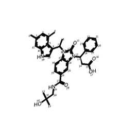 Cc1cc(C)c2c(C(C)n3c(=O)n([C@H](CC(=O)O)c4ccccc4)c4cc(C(=O)NCC(C)(C)O)ccc43)c[nH]c2c1